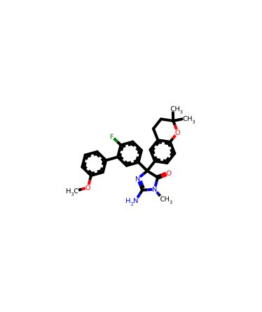 COc1cccc(-c2cc(C3(c4ccc5c(c4)CCC(C)(C)O5)N=C(N)N(C)C3=O)ccc2F)c1